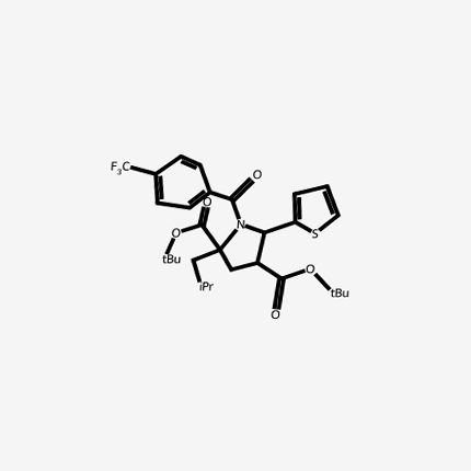 CC(C)CC1(C(=O)OC(C)(C)C)CC(C(=O)OC(C)(C)C)C(c2cccs2)N1C(=O)c1ccc(C(F)(F)F)cc1